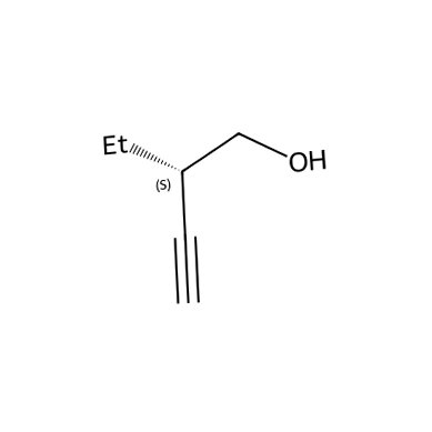 C#C[C@H](CC)CO